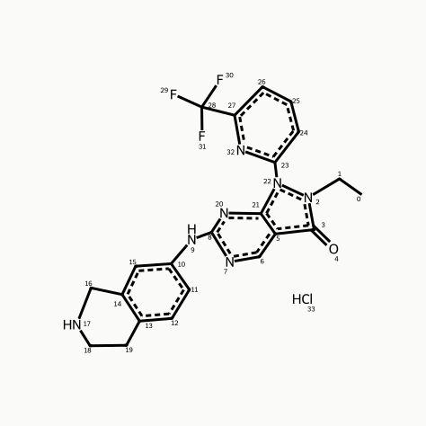 CCn1c(=O)c2cnc(Nc3ccc4c(c3)CNCC4)nc2n1-c1cccc(C(F)(F)F)n1.Cl